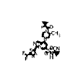 C[C@@H]1CN(c2cc(S(=O)(=O)NC3(C#N)CC3)cn3c(-c4nnc(C(F)F)s4)ncc23)CCN1C(=O)C1(F)CC1